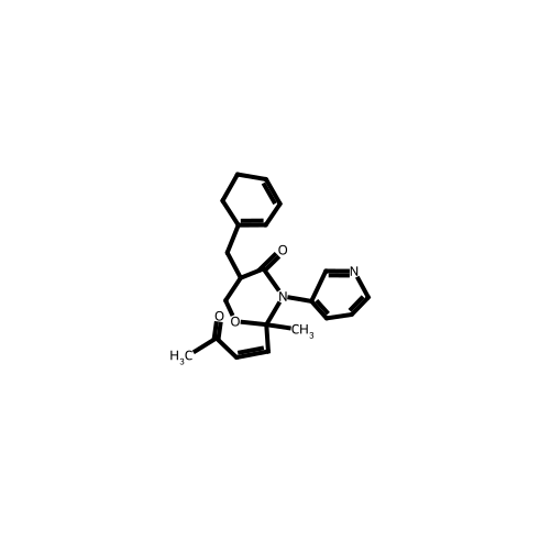 CC(=O)/C=C\C1(C)OCC(CC2=CC=CCC2)C(=O)N1c1cccnc1